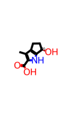 Cc1c(C(=O)O)[nH]c2c1CC[C@H]2O